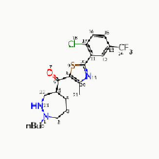 CCCCN1CCCC(C(=O)c2sc(-c3cc(C(F)(F)F)ccc3Cl)nc2C)CN1